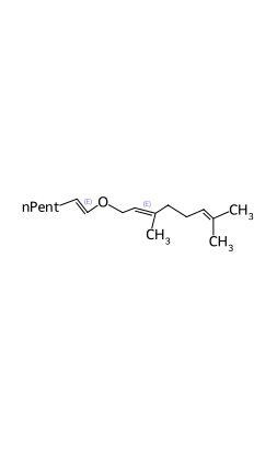 CCCCC/C=C/OC/C=C(\C)CCC=C(C)C